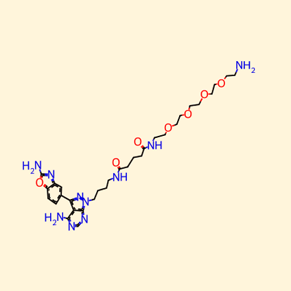 NCCOCCOCCOCCOCCNC(=O)CCCC(=O)NCCCCn1nc(-c2ccc3oc(N)nc3c2)c2c(N)ncnc21